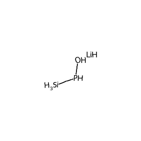 OP[SiH3].[LiH]